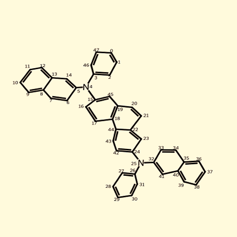 c1ccc(N(c2ccc3ccccc3c2)c2ccc3c(ccc4cc(N(c5ccccc5)c5ccc6ccccc6c5)ccc43)c2)cc1